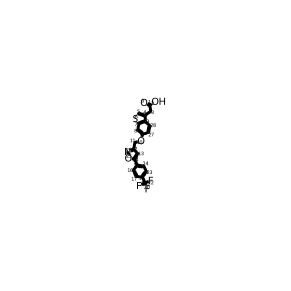 O=C(O)Cc1csc2cc(OCc3cc(-c4ccc(C(F)(F)F)cc4)on3)ccc12